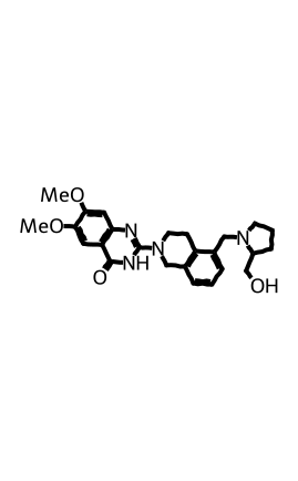 COc1cc2nc(N3CCc4c(cccc4CN4CCCC4CO)C3)[nH]c(=O)c2cc1OC